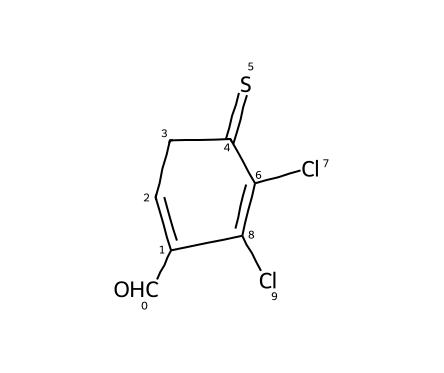 O=CC1=CCC(=S)C(Cl)=C1Cl